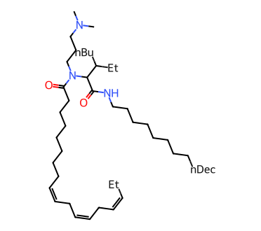 CC/C=C\C/C=C\C/C=C\CCCCCCCC(=O)N(CCCN(C)C)C(C(=O)NCCCCCCCCCCCCCCCCCC)C(CC)CCCC